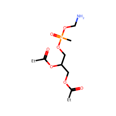 CCC(=O)OCC(COP(C)(=O)OCN)OC(=O)CC